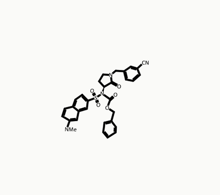 CNc1ccc2ccc(S(=O)(=O)N(C(=O)OCc3ccccc3)[C@H]3CCN(Cc4cccc(C#N)c4)C3=O)cc2c1